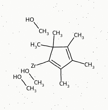 CC1=C(C)C(C)(C)[C]([Zr])=C1C.CO.CO.CO